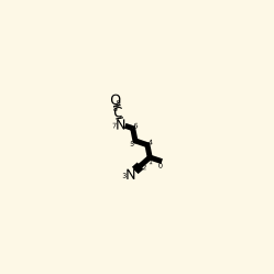 CC(C#N)CCCN=C=O